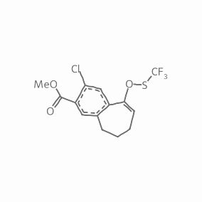 COC(=O)c1cc2c(cc1Cl)C(OSC(F)(F)F)=CCCC2